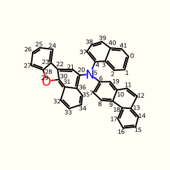 c1ccc2c(N(c3ccc4c(ccc5ccccc54)c3)c3cc4c5ccccc5oc4c4ccccc34)cccc2c1